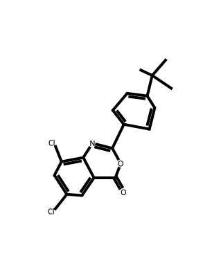 CC(C)(C)c1ccc(-c2nc3c(Cl)cc(Cl)cc3c(=O)o2)cc1